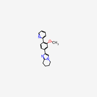 COc1cc(-c2cn3c(n2)CCCC3)ccc1-c1ccccn1